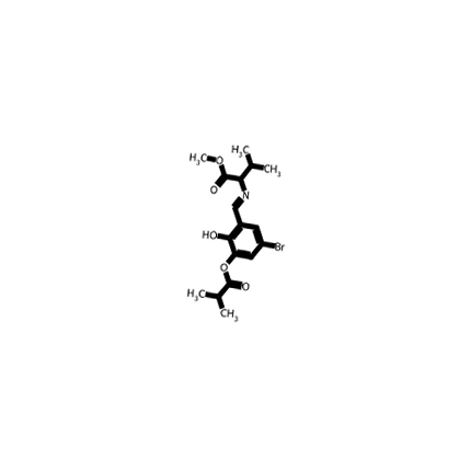 COC(=O)C(N=Cc1cc(Br)cc(OC(=O)C(C)C)c1O)C(C)C